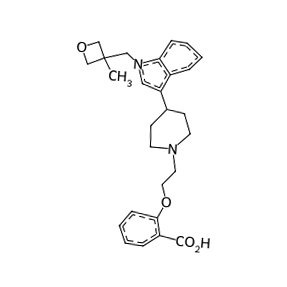 CC1(Cn2cc(C3CCN(CCOc4ccccc4C(=O)O)CC3)c3ccccc32)COC1